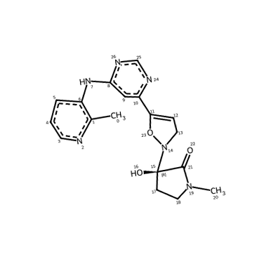 Cc1ncccc1Nc1cc(C2=CCN([C@@]3(O)CCN(C)C3=O)O2)ncn1